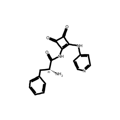 N[C@H](Cc1ccccc1)C(=O)Nc1c(Nc2ccncc2)c(=O)c1=O